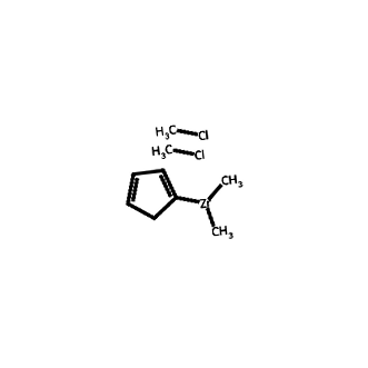 CCl.CCl.[CH3][Zr]([CH3])[C]1=CC=CC1